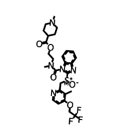 Cc1c(OCC(F)(F)F)ccnc1C[S@@+]([O-])c1nc2ccccc2n1C(=O)N(C)CCOC(=O)C1CCN(C)CC1